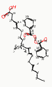 CCCCCCCCCCCCCCCCCC(=O)O.O=C(OOC(=O)c1ccccc1)c1ccccc1.[SnH2]